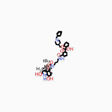 CC(C)(C)OC(=O)N(CCCCNC(=O)c1cccc(C(O)(C(=O)OCC2CCN(Cc3ccccc3)CC2)c2ccccc2)c1)C[C@H](O[Si](C)(C)C(C)(C)C)c1ccc(O)c2c1C=CC(O)N2